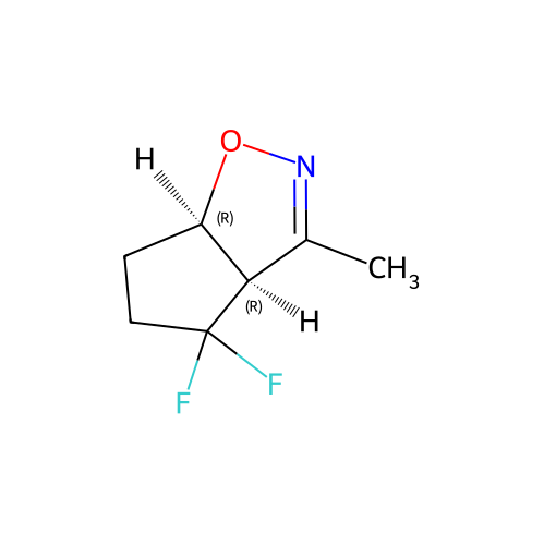 CC1=NO[C@@H]2CCC(F)(F)[C@H]12